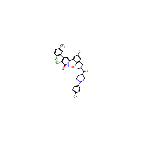 CN(Cc1cc(Cl)cc(-c2cc(-c3cc(C(F)(F)F)ccc3Cl)c(C#N)c(=O)[nH]2)c1O)C(=O)C1CCN(c2ccc(C#N)cc2)CC1